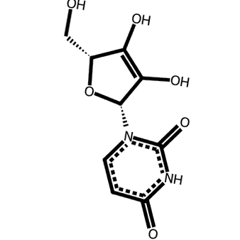 O=c1ccn([C@@H]2O[C@H](CO)C(O)=C2O)c(=O)[nH]1